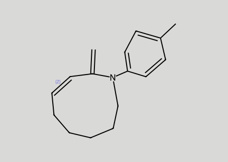 C=C1/C=C\CCCCCN1c1ccc(C)cc1